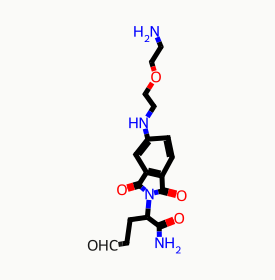 NCCOCCNc1ccc2c(c1)C(=O)N(C(CCC=O)C(N)=O)C2=O